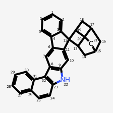 c1ccc2c(c1)-c1cc3c(cc1C21C2CC4CC5CC1C52C4)[nH]c1ccc2ccccc2c13